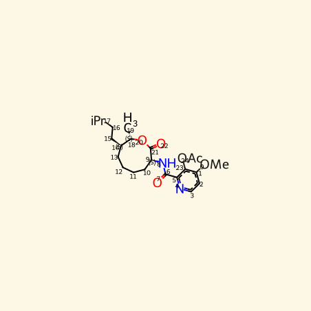 COc1ccnc(C(=O)N[C@H]2CCCC[C@@H](CCC(C)C)[C@H](C)OC2=O)c1OC(C)=O